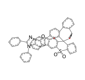 O=S1(=O)c2ccccc2C2(c3ccccc3-c3ccccc3-c3ccc(-c4ccc5c(c4)nc(-c4ccccc4)n5-c4ccccc4)cc32)c2cc3oc4ccccc4c3cc21